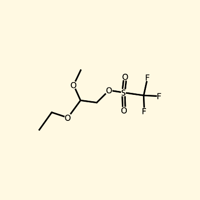 CCOC(COS(=O)(=O)C(F)(F)F)OC